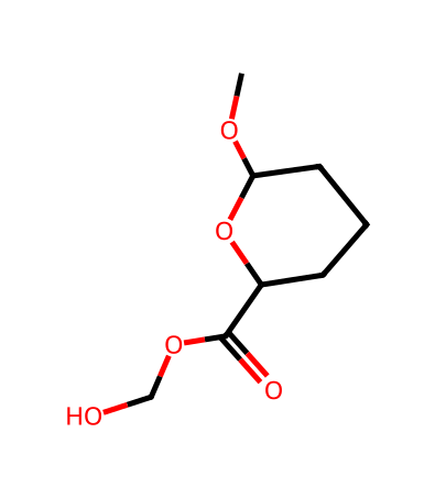 COC1CCCC(C(=O)OCO)O1